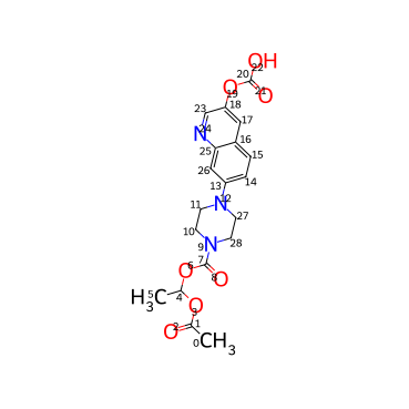 CC(=O)OC(C)OC(=O)N1CCN(c2ccc3cc(OC(=O)O)cnc3c2)CC1